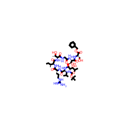 CC[C@H](C)[C@H](NC(=O)[C@@H](CCCNC(=N)N)NC(=O)[C@H](CC(C)C)NC(=O)[C@@H](NC(=O)OC(C)(C)C)[C@H](O)C(C)C)C(=O)N[C@H](C(=O)NCC(=O)N[C@H](C(=O)N[C@@H](CO)C(=O)OCc1ccccc1)[C@H](C)O)[C@H](C)O